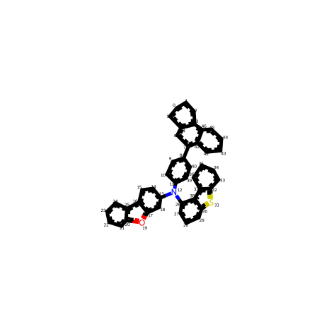 c1ccc2c(c1)cc(-c1ccc(N(c3ccc4c(c3)oc3ccccc34)c3cccc4sc5ccccc5c34)cc1)c1ccccc12